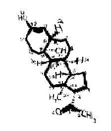 CC(=O)[C@H]1CC[C@H]2[C@@H]3CC[C@H]4C=C(O)CC[C@]4(C)[C@H]3CC[C@]12C